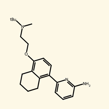 CN(CCOc1ccc(-c2cccc(N)n2)c2c1CCCC2)C(C)(C)C